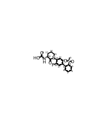 CS(=O)(=O)c1ccccc1-c1ccc(N2CCC[C@@H](NC(=O)O)C2=O)c(F)c1